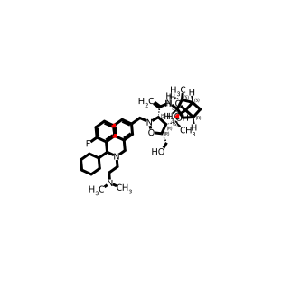 C=C(N[C@H]1C[C@H]2C[C@@H]([C@@H]1C)C2(C)C)[C@@H]1[C@H]([C@H](C)O)[C@H](CO)ON1Cc1cccc(CN(CCN(C)C)C(c2ccccc2F)C2CCCCC2)c1